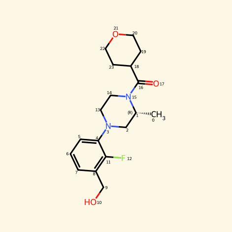 C[C@@H]1CN(c2cccc(CO)c2F)CCN1C(=O)C1CCOCC1